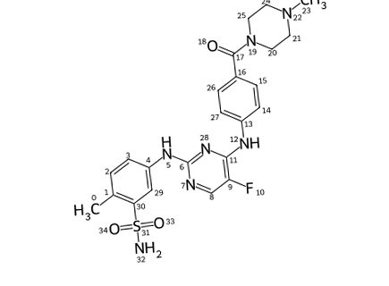 Cc1ccc(Nc2ncc(F)c(Nc3ccc(C(=O)N4CCN(C)CC4)cc3)n2)cc1S(N)(=O)=O